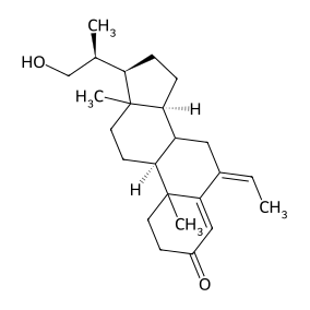 C/C=C1/CC2[C@H](CCC3(C)[C@@H]([C@H](C)CO)CC[C@@H]23)C2(C)CCC(=O)C=C12